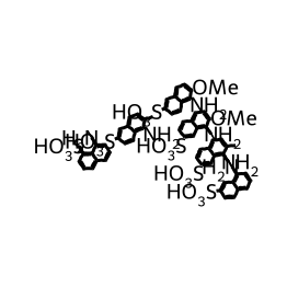 COc1ccc2cc(S(=O)(=O)O)ccc2c1N.COc1ccc2ccc(S(=O)(=O)O)cc2c1N.Cc1ccc2cc(S(=O)(=O)O)ccc2c1N.Cc1ccc2ccc(S(=O)(=O)O)cc2c1N.Nc1cccc2ccc(S(=O)(=O)O)cc12.Nc1cccc2cccc(S(=O)(=O)O)c12